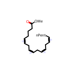 CCCCC/C=C\C/C=C\C/C=C\C/C=C\CCCC(=O)OC